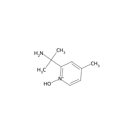 Cc1cc[n+](O)c(C(C)(C)N)c1